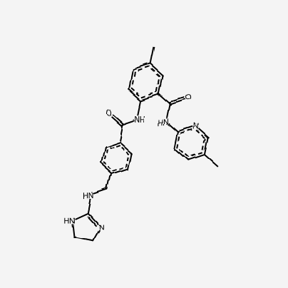 Cc1ccc(NC(=O)c2cc(C)ccc2NC(=O)c2ccc(CNC3=NCCN3)cc2)nc1